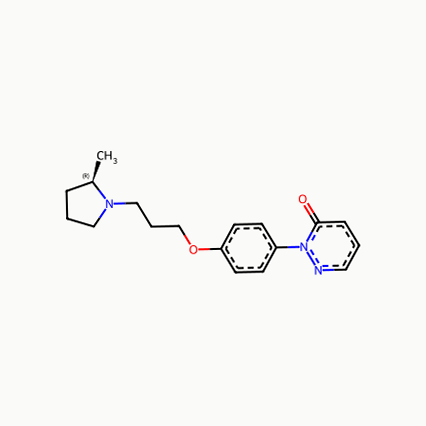 C[C@@H]1CCCN1CCCOc1ccc(-n2ncccc2=O)cc1